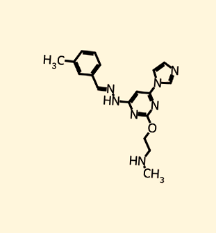 CNCCOc1nc(N/N=C/c2cccc(C)c2)cc(-n2ccnc2)n1